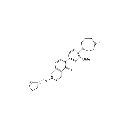 COc1cc(-n2ccc3cc(OC[C@@H]4CCCO4)ccc3c2=O)ccc1N1CCCN(C)CC1